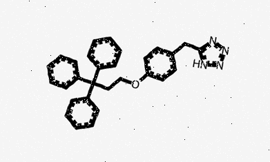 c1ccc(C(CCOc2ccc(Cc3nnn[nH]3)cc2)(c2ccccc2)c2ccccc2)cc1